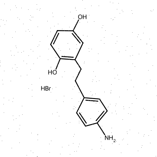 Br.Nc1ccc(CCc2cc(O)ccc2O)cc1